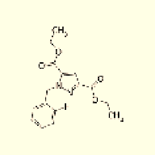 CCOC(=O)c1cc(C(=O)OCC)n(Cc2ccccc2F)n1